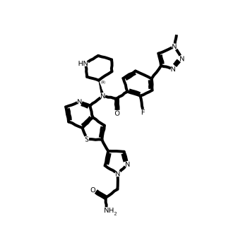 Cn1cc(-c2ccc(C(=O)N(c3nccc4sc(-c5cnn(CC(N)=O)c5)cc34)[C@@H]3CCCNC3)c(F)c2)nn1